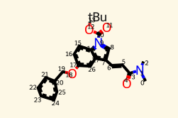 CN(C)C(=O)C=Cc1cn(C(=O)OC(C)(C)C)c2ccc(OCc3ccccc3)cc12